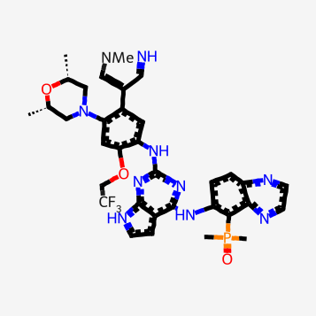 CN/C=C(\C=N)c1cc(Nc2nc(Nc3ccc4nccnc4c3P(C)(C)=O)c3cc[nH]c3n2)c(OCC(F)(F)F)cc1N1C[C@@H](C)O[C@@H](C)C1